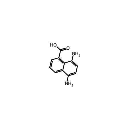 Nc1ccc(N)c2c(C(=O)O)cccc12